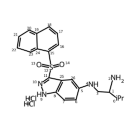 CC(C)C(N)CNc1ccc2[nH]nc(S(=O)(=O)c3cccc4ccccc34)c2c1.Cl.Cl